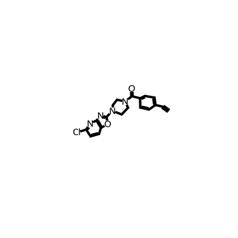 C#Cc1ccc(C(=O)N2CCN(c3nc4nc(Cl)ccc4o3)CC2)cc1